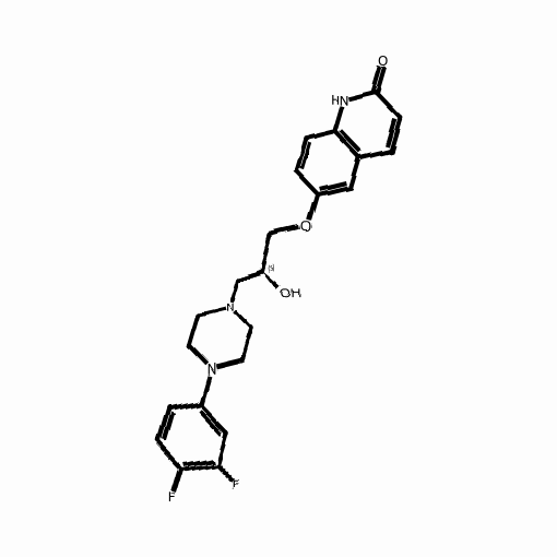 O=c1ccc2cc(OC[C@@H](O)CN3CCN(c4ccc(F)c(F)c4)CC3)ccc2[nH]1